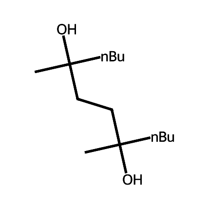 CCCCC(C)(O)CCC(C)(O)CCCC